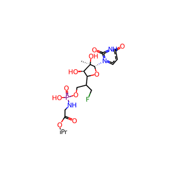 CC(C)OC(=O)CNP(=O)(O)OCC(CF)C1O[C@@H](n2ccc(=O)[nH]c2=O)[C@](C)(O)[C@@H]1O